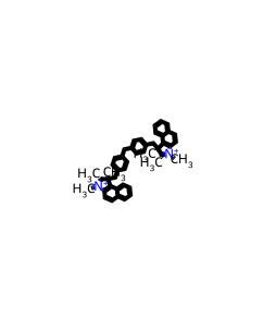 CC1=[N+](C)c2ccc3ccccc3c2C1(C)Cc1ccc(Cc2ccc(CC3(C)C(C)=[N+](C)c4ccc5ccccc5c43)cc2)cc1